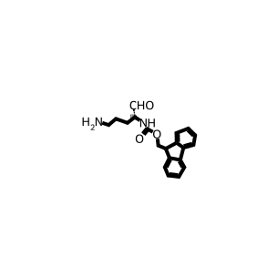 NCCC[C@H](C=O)NC(=O)OCC1c2ccccc2-c2ccccc21